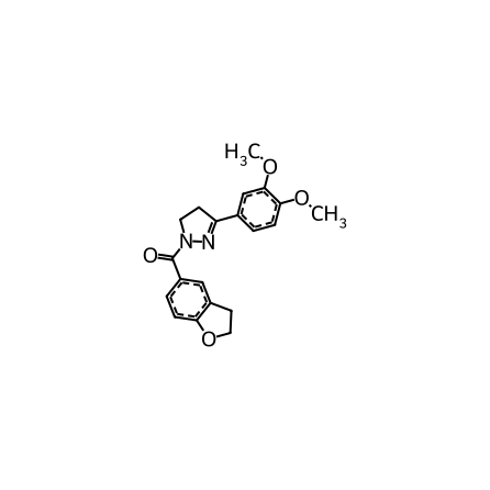 COc1ccc(C2=NN(C(=O)c3ccc4c(c3)CCO4)CC2)cc1OC